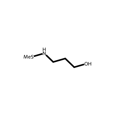 CSNCCCO